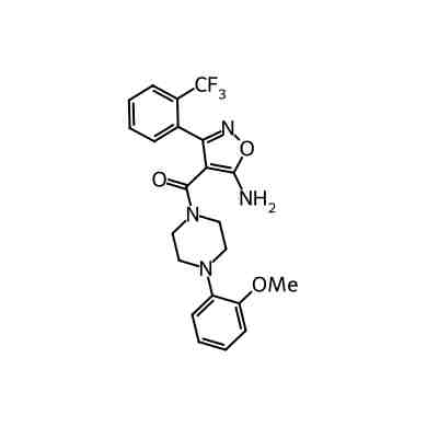 COc1ccccc1N1CCN(C(=O)c2c(-c3ccccc3C(F)(F)F)noc2N)CC1